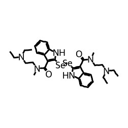 CCN(CC)CCN(C)C(=O)c1c([Se][Se]c2[nH]c3ccccc3c2C(=O)N(C)CCN(CC)CC)[nH]c2ccccc12